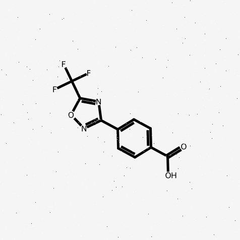 O=C(O)c1ccc(-c2noc(C(F)(F)F)n2)cc1